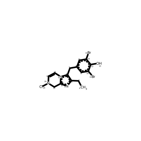 CCc1nc2n(c1Cc1cc(Br)c(O)c(Br)c1)C=CN(Cl)C2